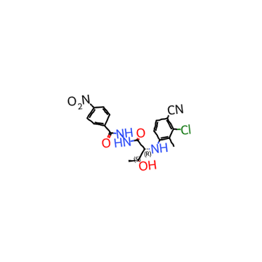 Cc1c(N[C@@H](C(=O)NNC(=O)c2ccc([N+](=O)[O-])cc2)[C@H](C)O)ccc(C#N)c1Cl